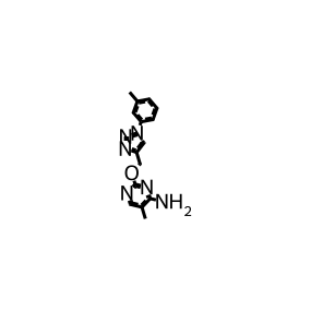 Cc1cccc(-n2cc(COc3ncc(C)c(N)n3)nn2)c1